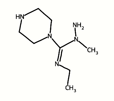 CCN=C(N(C)N)N1CCNCC1